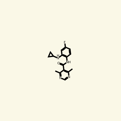 Cc1ncnc(C)c1C(=O)Nc1ccc(F)cc1NC1CC1